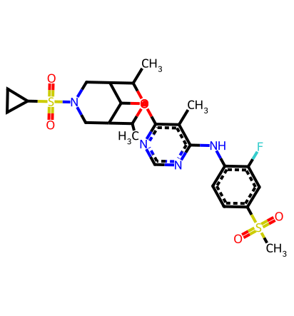 Cc1c(Nc2ccc(S(C)(=O)=O)cc2F)ncnc1OC1C2CN(S(=O)(=O)C3CC3)CC1C(C)OC2C